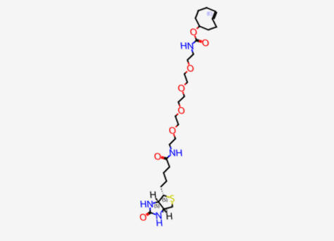 O=C(CCCC[C@@H]1SC[C@@H]2NC(=O)N[C@@H]21)NCCOCCOCCOCCOCCNC(=O)OC1CC/C=C/CCC1